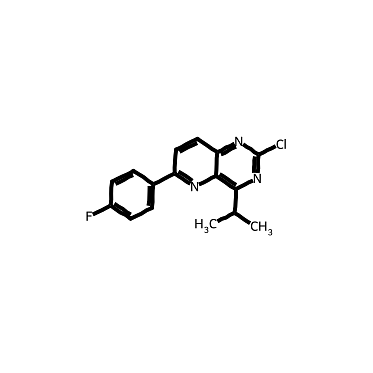 CC(C)c1nc(Cl)nc2ccc(-c3ccc(F)cc3)nc12